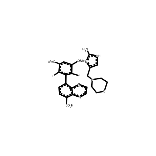 COc1cc(OC)c(F)c(-c2ccc(C(=O)O)c3nccnc23)c1F.Nc1nc(CN2CCOCC2)c[nH]1